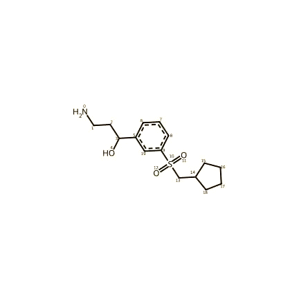 NCCC(O)c1cccc(S(=O)(=O)CC2CCCC2)c1